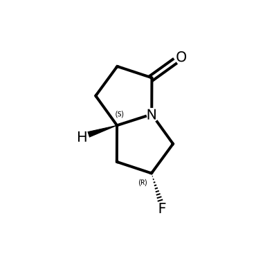 O=C1CC[C@H]2C[C@@H](F)CN12